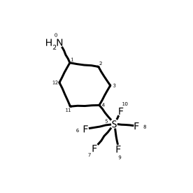 NC1CCC(S(F)(F)(F)(F)F)CC1